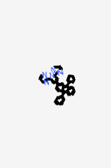 c1ccc(-c2c3ccccc3c(-c3ccccc3)c3cc(-c4cc(-c5ncccn5)nc(-c5ncccn5)c4)ccc23)cc1